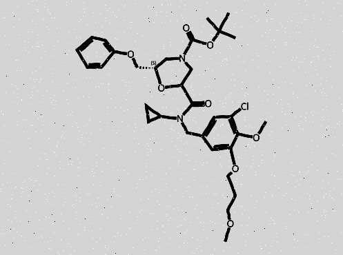 COCCCOc1cc(CN(C(=O)C2CN(C(=O)OC(C)(C)C)C[C@@H](COc3ccccc3)O2)C2CC2)cc(Cl)c1OC